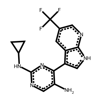 Nc1cnc(NC2CC2)nc1-c1c[nH]c2ncc(C(F)(F)F)cc12